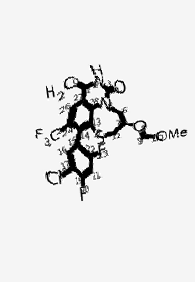 C=C1NC(=O)N2C[C@@H](OCOC)CSc3c(-c4cc(Cl)c(F)cc4F)c(C(F)(F)F)cc1c32